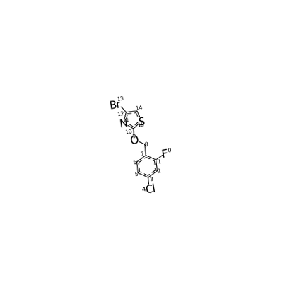 Fc1cc(Cl)ccc1COc1nc(Br)cs1